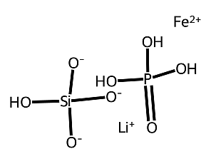 O=P(O)(O)O.[Fe+2].[Li+].[O-][Si]([O-])([O-])O